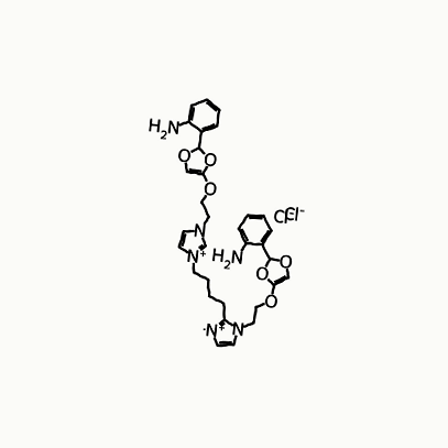 Nc1ccccc1C1OC=C(OCCN2C=C[N+]=C2CCCC[n+]2ccn(CCOC3=COC(c4ccccc4N)O3)c2)O1.[Cl-].[Cl-]